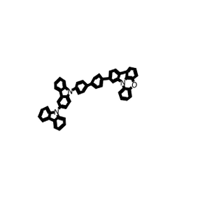 c1ccc2c(c1)Oc1cccc3c4ccc(-c5ccc(-c6ccc(-n7c8ccccc8c8cc(-n9c%10ccccc%10c%10ccccc%109)ccc87)cc6)cc5)cc4n-2c13